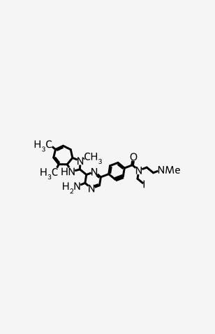 CNCCN(CI)C(=O)c1c#cc(C2=NC(C3NC4C(C)=CC(C)=CCC4N3C)C(N)N=C2)cc1